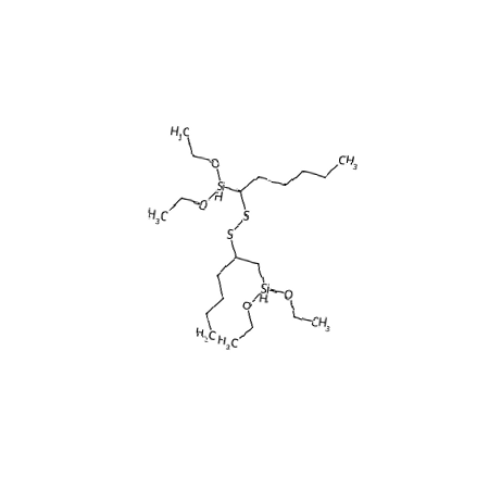 CCCCCC(SSC(CCCC)C[SiH](OCC)OCC)[SiH](OCC)OCC